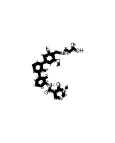 COc1cc(-c2cccc(-c3cccc(NC(=O)c4cncn(C)c4=O)c3C)c2C)cc(F)c1CNCCC(=O)O